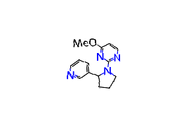 COc1ccnc(N2CCCC2c2cccnc2)n1